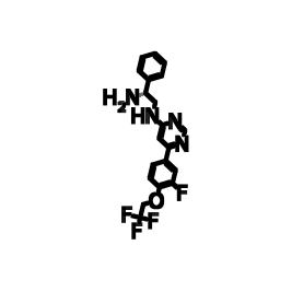 N[C@@H](CNc1cc(-c2ccc(OCC(F)(F)F)c(F)c2)ncn1)c1ccccc1